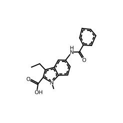 CCc1c(C(=O)O)n(C)c2ccc(NC(=O)c3ccccc3)cc12